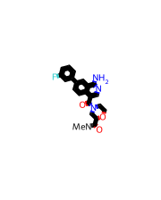 CNC(=O)C1CN(C(=O)c2cnc(N)c3cc(-c4cccc(F)c4)ccc23)CCO1